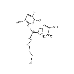 N#Cc1cc(F)c(Cl)cc1O[C@H](CCNCCCO)c1ccsc1.O=C(O)C(=O)O